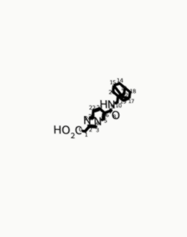 O=C(O)Cc1cn2cc(C(=O)NCC34CC5CC(CC(C5)C3)C4)ccc2n1